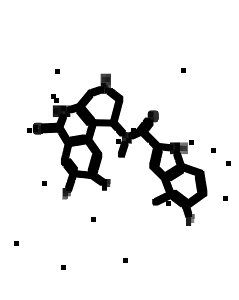 Cc1c(F)ccc2[nH]c(C(=O)N(C)C3CNCc4[nH]c(=O)c5cc(F)c(F)cc5c43)cc12